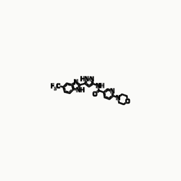 O=C(Nc1cc(-c2nc3cc(C(F)(F)F)ccc3[nH]2)[nH]n1)c1ccc(N2CCOCC2)nc1